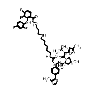 Cc1cc([C@H](C(=O)N2C[C@H](O)C[C@H]2C(=O)N[C@@H](CC(=O)NCCCCCCNCCCONC(=O)c2ccc(F)c(F)c2Nc2ccc(I)cc2F)c2ccc(-c3scnc3C)cc2)C(C)C)on1